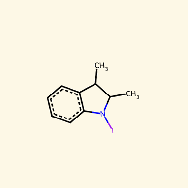 CC1c2ccccc2N(I)C1C